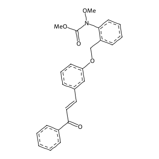 COC(=O)N(OC)c1ccccc1COc1cccc(C=CC(=O)c2ccccc2)c1